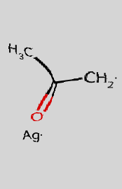 [Ag].[CH2]C(C)=O